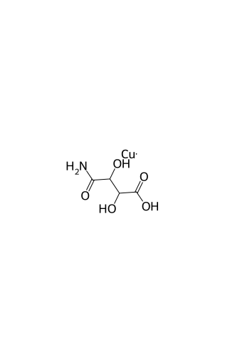 NC(=O)C(O)C(O)C(=O)O.[Cu]